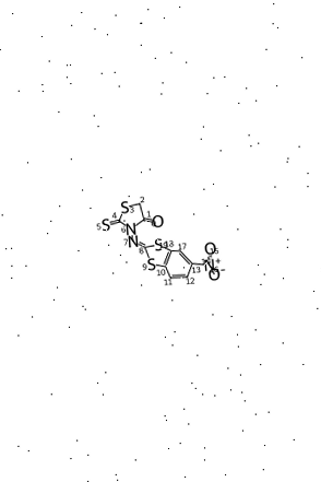 O=C1CSC(=S)N1N=c1sc2ccc([N+](=O)[O-])cc2s1